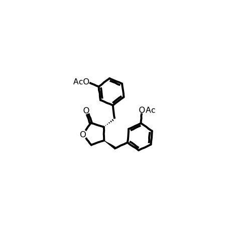 CC(=O)Oc1cccc(C[C@H]2COC(=O)[C@@H]2Cc2cccc(OC(C)=O)c2)c1